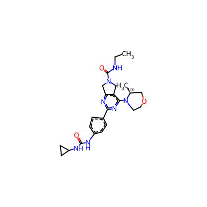 CCNC(=O)N1Cc2nc(-c3ccc(NC(=O)NC4CC4)cc3)nc(N3CCOC[C@@H]3C)c2C1